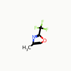 Cc1[c]oc(C(F)(F)F)n1